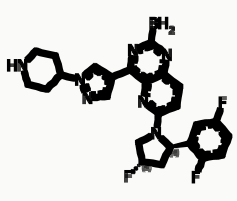 Bc1nc(-c2cnn(C3CCNCC3)c2)c2nc(N3C[C@@H](F)C[C@@H]3c3cc(F)ccc3F)ccc2n1